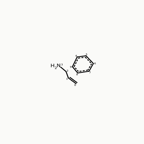 C=CCN.c1ccccc1